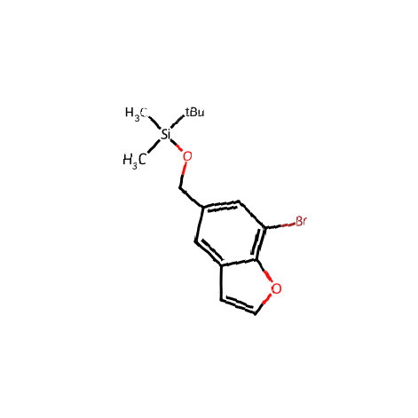 CC(C)(C)[Si](C)(C)OCc1cc(Br)c2occc2c1